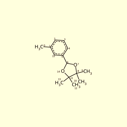 Cc1cccc(C2OC(C)(C)C(C)(C)O2)c1